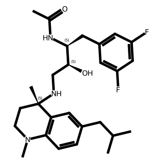 CC(=O)N[C@@H](Cc1cc(F)cc(F)c1)[C@@H](O)CN[C@@]1(C)CCN(C)c2ccc(CC(C)C)cc21